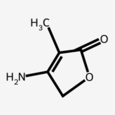 CC1=C(N)COC1=O